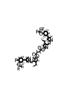 CCc1cn(OC(=O)CCC(=O)On2cc(CC)c(Cn3cc(-c4ccc(F)c(OC(F)F)c4)cn3)n2)nc1Cn1cc(-c2ccc(F)c(OC(F)F)c2)cn1